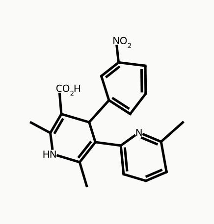 CC1=C(C(=O)O)C(c2cccc([N+](=O)[O-])c2)C(c2cccc(C)n2)=C(C)N1